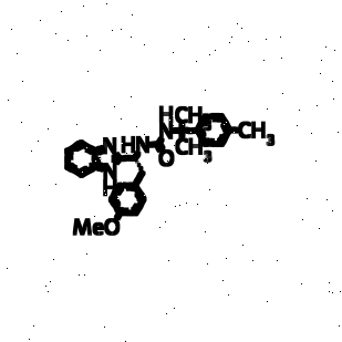 COc1ccc(C[C@@H](NC(=O)NC(C)(C)c2ccc(C)cc2)c2nc3ccccc3[nH]2)cc1